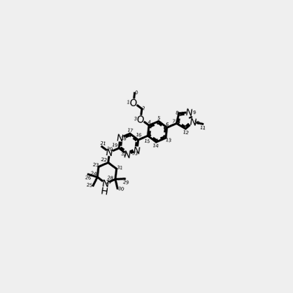 COCOc1cc(-c2cnn(C)c2)ccc1-c1cnc(N(C)C2CC(C)(C)NC(C)(C)C2)nn1